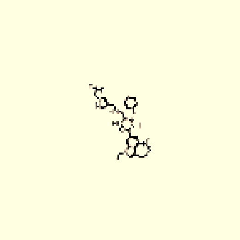 CCn1cc2c3c(cc(C(=O)N[C@@H](Cc4ccccc4)[C@H](O)CNCc4cnn(CC(F)(F)F)c4)cc31)N(C)SCC2